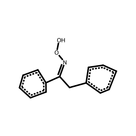 OON=C(Cc1ccccc1)c1ccccc1